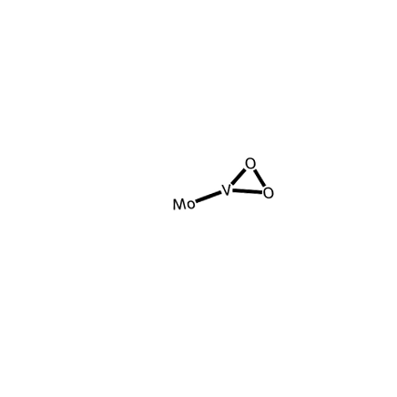 [Mo][V]1[O][O]1